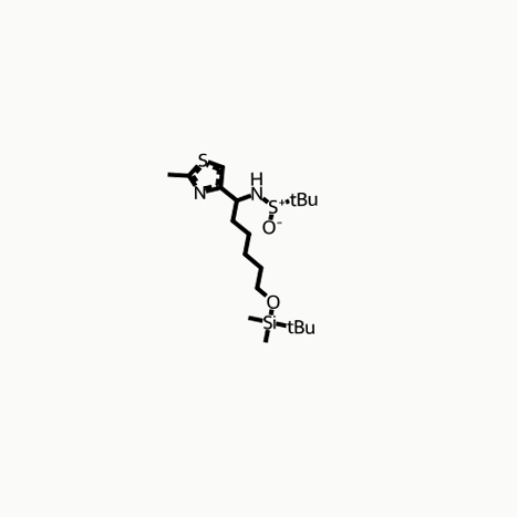 Cc1nc(C(CCCCCO[Si](C)(C)C(C)(C)C)N[S+]([O-])C(C)(C)C)cs1